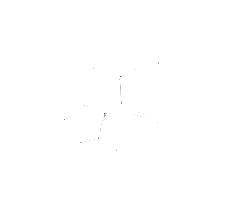 C=C=C(C(=O)OC)C1CCCC1N